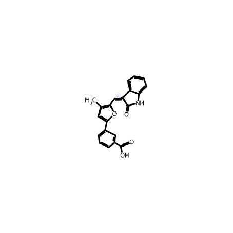 Cc1cc(-c2cccc(C(=O)O)c2)oc1/C=C1\C(=O)Nc2ccccc21